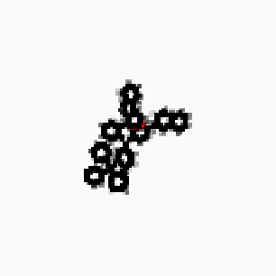 c1ccc(C2(c3ccccc3)c3ccccc3-c3ccc(N(c4ccc(-c5ccc6ccccc6c5)cc4)c4ccccc4-c4cccc5c4sc4ccccc45)cc32)cc1